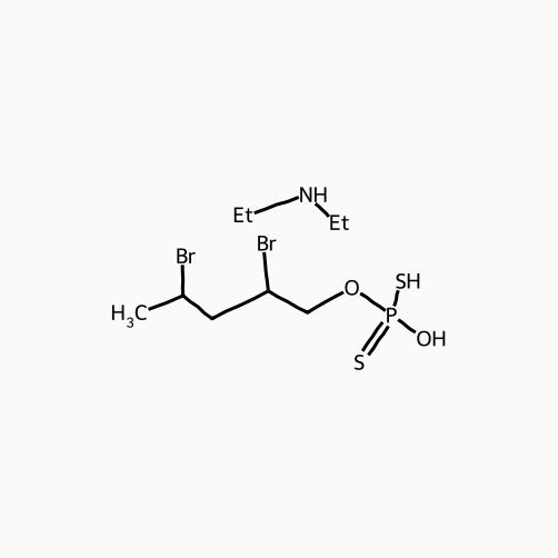 CC(Br)CC(Br)COP(O)(=S)S.CCNCC